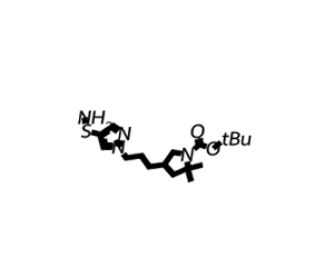 CC(C)(C)OC(=O)N1CC(CCCn2cc(SN)cn2)CC1(C)C